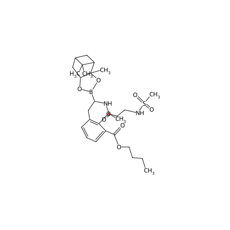 CCCCOC(=O)c1cccc(CC(NC(=O)CCNS(C)(=O)=O)B2OC3CC4CC(C4(C)C)C3(C)O2)c1OC